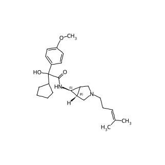 COc1ccc(C(O)(C(=O)N[C@H]2C3CN(CCC=C(C)C)C[C@@H]32)C2CCCC2)cc1